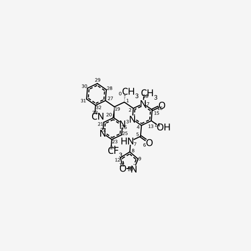 C[C@H](c1nc(C(=O)Nc2cnoc2)c(O)c(=O)n1C)[C@@H](c1cnc(C(F)(F)F)cn1)c1ccccc1C#N